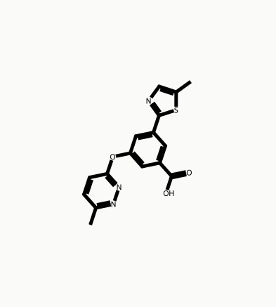 Cc1ccc(Oc2cc(C(=O)O)cc(-c3ncc(C)s3)c2)nn1